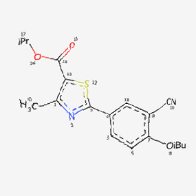 Cc1nc(-c2ccc(OCC(C)C)c(C#N)c2)sc1C(=O)OC(C)C